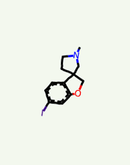 CN1CCC2(COc3cc(I)ccc32)C1